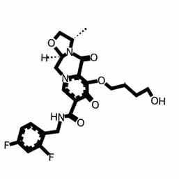 C[C@H]1CO[C@@H]2Cn3cc(C(=O)NCc4ccc(F)cc4F)c(=O)c(OC[CH]CCO)c3C(=O)N12